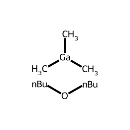 CCCCOCCCC.[CH3][Ga]([CH3])[CH3]